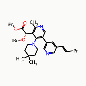 Cc1ncc(-c2cncc(C=CC(C)C)c2)c(N2CCC(C)(C)CC2)c1[C@H](OC(C)(C)C)C(=O)OC(C)C